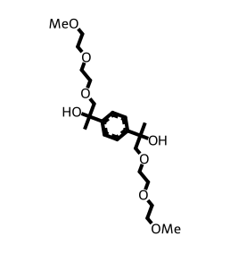 COCCOCCOCC(C)(O)c1ccc(C(C)(O)COCCOCCOC)cc1